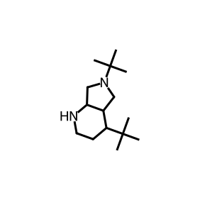 CC(C)(C)C1CCNC2CN(C(C)(C)C)CC21